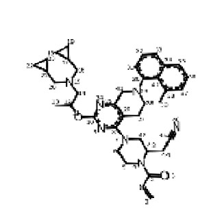 C=CC(=O)N1CCN(c2nc(OC(C)CN(CC3CC3)CC3CC3)nc3c2CCN(c2cccc4cccc(C)c24)C3)CC1CC#N